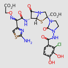 Nc1nc(/C(=N/OCC(=O)O)C(=O)N[C@@H]2C(=O)N3C[C@@](C(=O)O)(N4CCN(NC(=O)c5ccc(O)c(O)c5Cl)C4=O)S[C@H]23)cs1